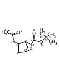 CC(=O)SC1CC2CC(C(=O)OC(C)(C)C)C1C2